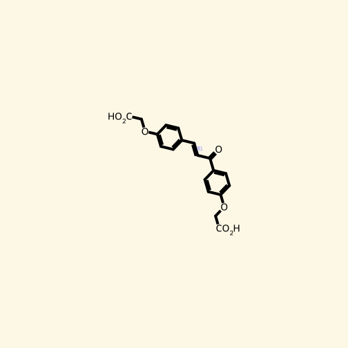 O=C(O)COc1ccc(/C=C/C(=O)c2ccc(OCC(=O)O)cc2)cc1